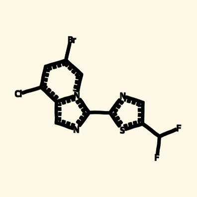 FC(F)c1cnc(-c2ncc3c(Cl)cc(Br)cn23)s1